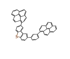 c1cc(-c2ccc3sc4ccc(-c5ccc6ccc7cccc8ccc5c6c78)cc4c3c2)cc(-c2ccc3ccc4cccc5ccc2c3c45)c1